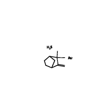 C=C1C2CCC(C2)C1(C)C.S.[Au]